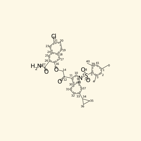 Cc1cc(C)c(S(=O)(=O)n2cc(C(=O)COc3cc4ccc(Cl)cc4cc3C(N)=O)c3ccc(C4CC4)cc32)c(C)c1